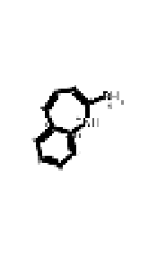 BC1=CC=Cc2ccccc2N1